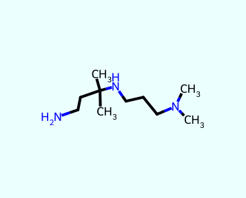 CN(C)CCCNC(C)(C)CCN